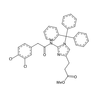 COC(=O)CCc1cn(C(c2ccccc2)(c2ccccc2)c2ccccc2)c(NC(=O)Cc2ccc(Cl)c(Cl)c2)n1